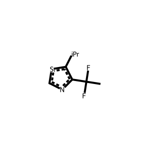 CC(C)c1scnc1C(C)(F)F